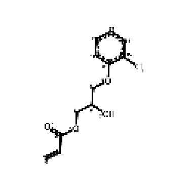 C=CC(=O)OCC(O)COc1ccccc1Cl